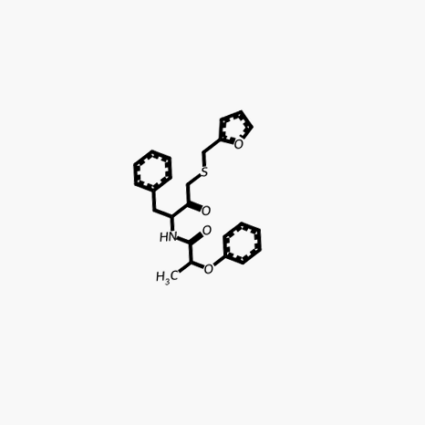 CC(Oc1ccccc1)C(=O)NC(Cc1ccccc1)C(=O)CSCc1ccco1